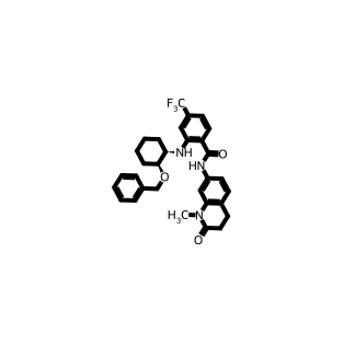 CN1C(=O)CCc2ccc(NC(=O)c3ccc(C(F)(F)F)cc3N[C@H]3CCCC[C@@H]3OCc3ccccc3)cc21